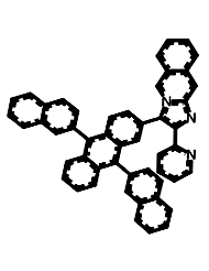 c1ccc(-c2nc3cc4ccccc4cn3c2-c2ccc3c(-c4ccc5ccccc5c4)c4ccccc4c(-c4ccc5ccccc5c4)c3c2)nc1